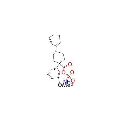 COc1cccc(C2(C(=O)OS(N)(=O)=O)CCC(c3ccccc3)CC2)c1